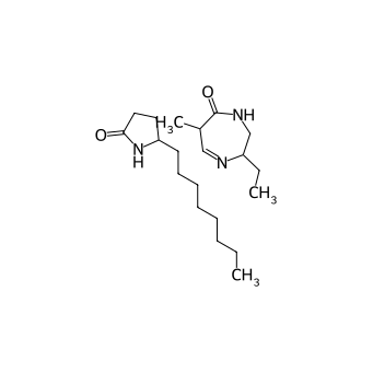 CCC1CNC(=O)C(C)C=N1.CCCCCCCCC1CCC(=O)N1